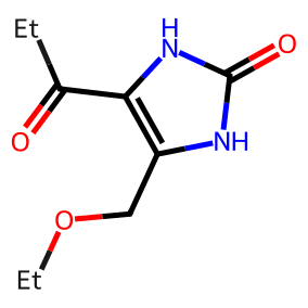 CCOCc1[nH]c(=O)[nH]c1C(=O)CC